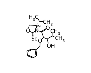 CC(C)C(O)C(OCc1ccccc1)C(=O)N1C(=[Se])OC[C@@H]1C(C)C